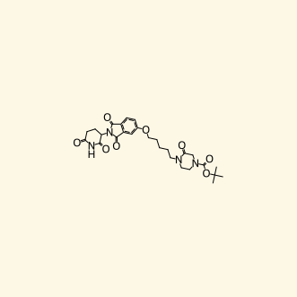 CC(C)(C)OC(=O)N1CCN(CCCCCOc2ccc3c(c2)C(=O)N(C2CCC(=O)NC2=O)C3=O)C(=O)C1